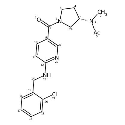 CC(=O)N(C)[C@H]1CCN(C(=O)c2ccc(NCc3ccccc3Cl)nc2)C1